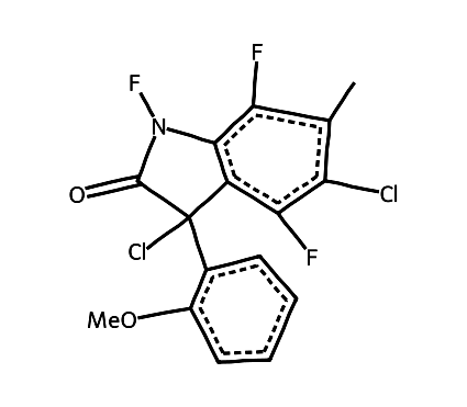 COc1ccccc1C1(Cl)C(=O)N(F)c2c(F)c(C)c(Cl)c(F)c21